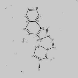 Fc1ccc2c(ccc3c[n+]4c5ccccc5ccc4n32)c1.[I-]